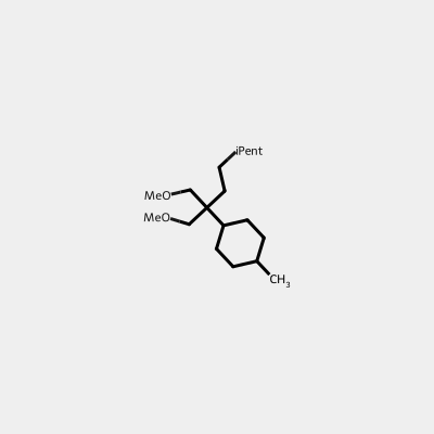 CCCC(C)CCC(COC)(COC)C1CCC(C)CC1